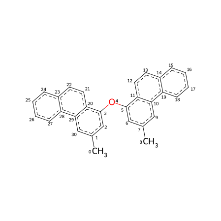 Cc1cc(Oc2cc(C)cc3c2ccc2ccccc23)c2ccc3ccccc3c2c1